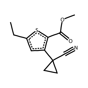 CCc1cc(C2(C#N)CC2)c(C(=O)OC)s1